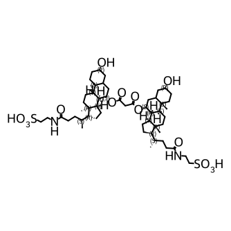 C[C@@H](CCC(=O)NCCS(=O)(=O)O)[C@H]1CC[C@H]2[C@@H]3[C@@H](OC(=O)CC(=O)O[C@H]4CC5C[C@H](O)CC[C@]5(C)[C@H]5CC[C@]6(C)[C@@H]([C@@H](C)CCC(=O)NCCS(=O)(=O)O)CC[C@H]6[C@H]45)CC4C[C@H](O)CC[C@]4(C)[C@H]3CC[C@]12C